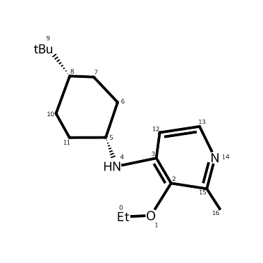 CCOc1c(N[C@H]2CC[C@@H](C(C)(C)C)CC2)ccnc1C